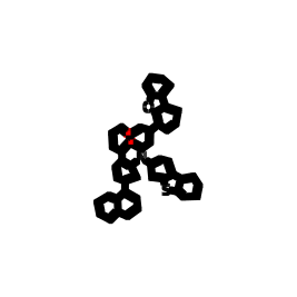 c1ccc(-c2ccc(-c3cccc4ccccc34)cc2N(c2cccc(-c3cccc4c3oc3ccccc34)c2)c2ccc3c(c2)sc2ccccc23)cc1